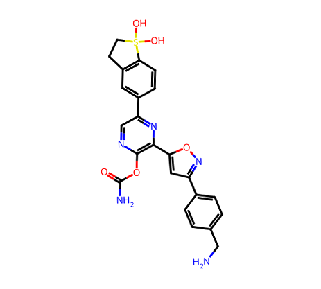 NCc1ccc(-c2cc(-c3nc(-c4ccc5c(c4)CCS5(O)O)cnc3OC(N)=O)on2)cc1